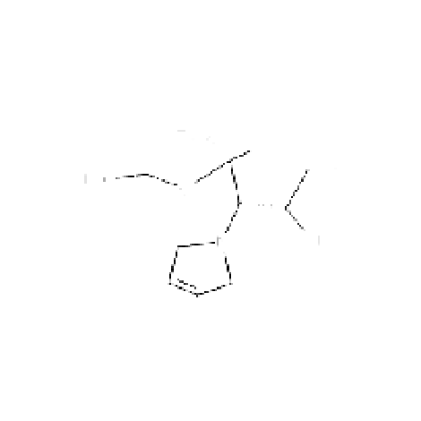 CCO[C@@](C)(I)[C@H](C(C)C)N1CC=CC1